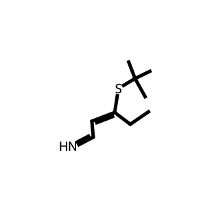 CC/C(=C\C=N)SC(C)(C)C